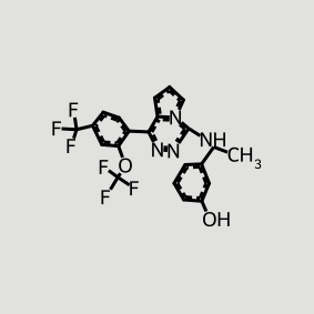 CC(Nc1nnc(-c2ccc(C(F)(F)F)cc2OC(F)(F)F)c2cccn12)c1cccc(O)c1